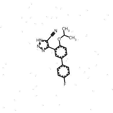 CC(C)Oc1ccc(-c2ccc(F)cc2)cc1-c1nn[nH]c1C#N